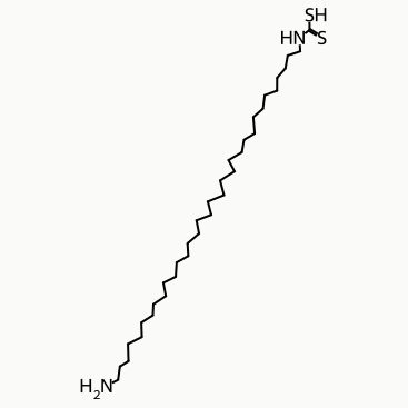 NCCCCCCCCCCCCCCCCCCCCCCCCCCCCCCCCCNC(=S)S